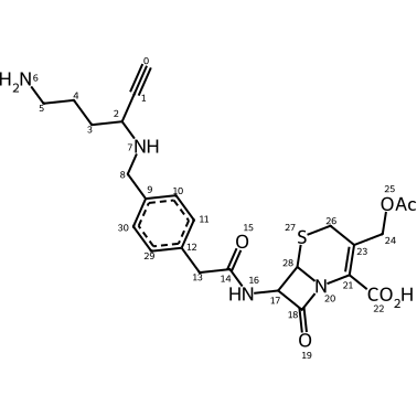 C#CC(CCCN)NCc1ccc(CC(=O)NC2C(=O)N3C(C(=O)O)=C(COC(C)=O)CSC23)cc1